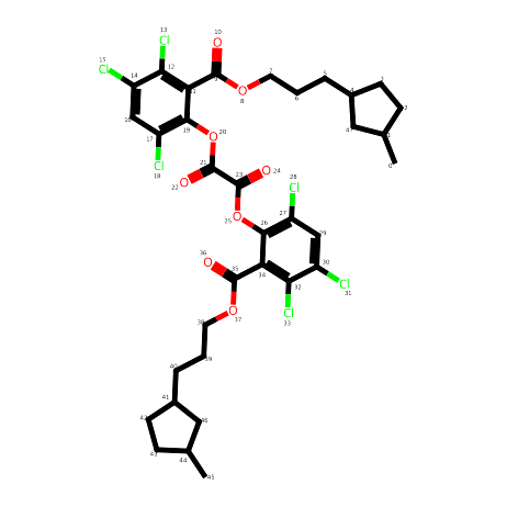 CC1CCC(CCCOC(=O)c2c(Cl)c(Cl)cc(Cl)c2OC(=O)C(=O)Oc2c(Cl)cc(Cl)c(Cl)c2C(=O)OCCCC2CCC(C)C2)C1